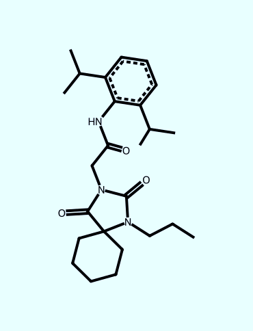 CCCN1C(=O)N(CC(=O)Nc2c(C(C)C)cccc2C(C)C)C(=O)C12CCCCC2